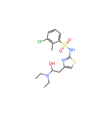 CCN(CC)C(O)Cc1csc(NS(=O)(=O)c2cccc(Cl)c2C)n1